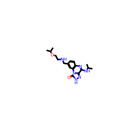 CC(C)Nc1nc2ccc(CNCCOC(C)C)cc2n2c(=O)[nH]nc12